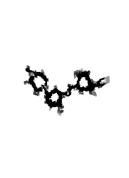 CN1CCN(c2ccc(F)c(OCc3ccc(Cl)cc3F)c2)CC1